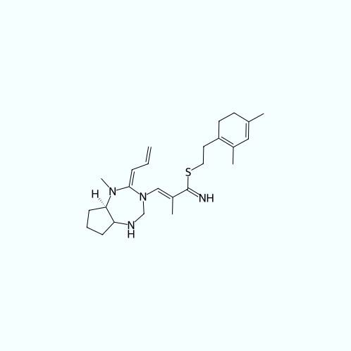 C=C/C=C1\N(/C=C(\C)C(=N)SCCC2=C(C)C=C(C)CC2)CNC2CCC[C@H]2N1C